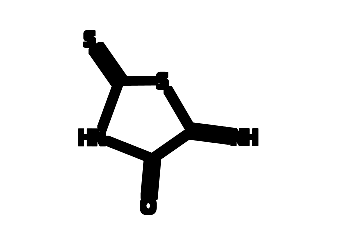 N=C1SC(=S)NC1=O